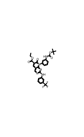 CCOC(=O)c1cc2cnc(Nc3cccc(C(F)(F)F)c3)nc2n(-c2cccc(NC(=O)OC(C)(C)C)c2)c1=O